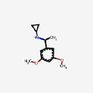 COc1cc(OC)cc(C(C)NC2CC2)c1